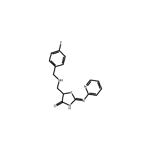 O=C1NC(=Nc2ccccn2)SC1CNCc1ccc(F)cc1